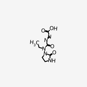 CCN(C(=O)N=NC(=O)O)N1CCNC1=O